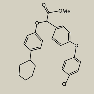 COC(=O)C(Oc1ccc(C2CCCCC2)cc1)c1ccc(Oc2ccc(Cl)cc2)cc1